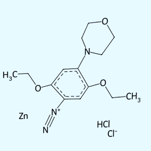 CCOc1cc(N2CCOCC2)c(OCC)cc1[N+]#N.Cl.[Cl-].[Zn]